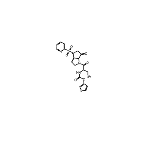 CC(C)CC(NC(=O)Oc1ccsc1)C(=O)N1CCC2C1C(=O)CN2S(=O)(=O)c1ccccn1